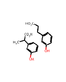 CC(C(=O)O)c1cccc(O)c1.O=C(O)CCc1cccc(O)c1